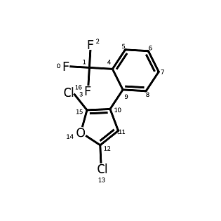 FC(F)(F)c1ccccc1-c1[c]c(Cl)oc1Cl